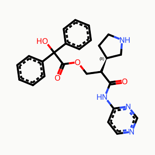 O=C(Nc1ccncn1)C(COC(=O)C(O)(c1ccccc1)c1ccccc1)[C@H]1CCNC1